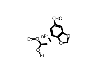 CCCC.CCOC(C)OCC.O=Cc1ccc2c(c1)OCO2